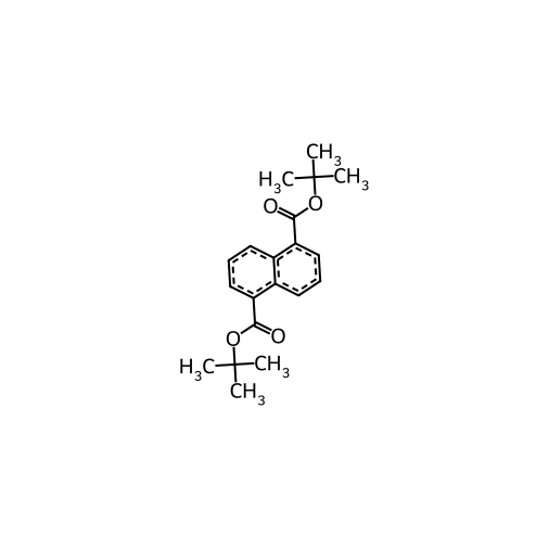 CC(C)(C)OC(=O)c1cccc2c(C(=O)OC(C)(C)C)cccc12